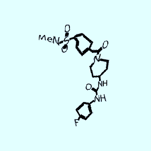 CNS(=O)(=O)c1ccc(C(=O)N2CCC(NC(=O)Nc3ccc(F)cc3)CC2)cc1